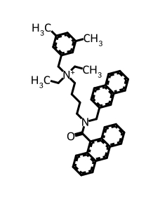 CC[N+](CC)(CCCCN(Cc1ccc2ccccc2c1)C(=O)c1c2ccccc2cc2ccccc12)Cc1cc(C)cc(C)c1